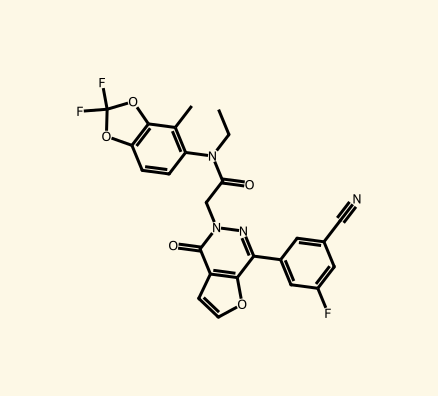 CCN(C(=O)Cn1nc(-c2cc(F)cc(C#N)c2)c2occc2c1=O)c1ccc2c(c1C)OC(F)(F)O2